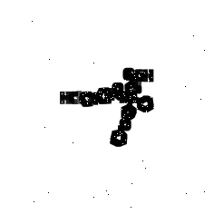 Cl.O=C(O)c1cc2c(s1)c(C1CCCCC1)c(-c1ccc(OCc3ccccc3)cc1)n2CC(=O)N1CCC(N2CCCCC2)CC1